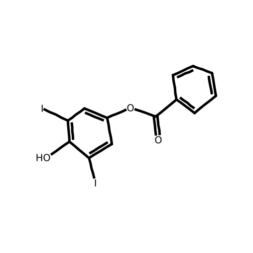 O=C(Oc1cc(I)c(O)c(I)c1)c1ccccc1